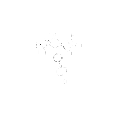 C[C@@H]1CN(C(=O)OC(C)(C)C)[C@H](c2ccc(N3CCN(C)CC3)cc2)CN1C(=O)C1(C(F)(F)F)CC1